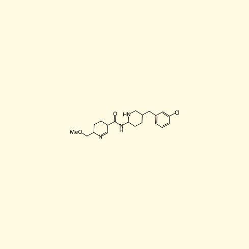 COCC1CCC(C(=O)NC2CCC(Cc3cccc(Cl)c3)CN2)C=N1